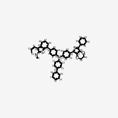 C=Nc1sc2c(-c3ccc(N(c4ccc(-c5ccccc5)cc4)c4ccc(-c5sc(-c6ccccc6)c6c5OCCO6)cc4)cc3)cccc2c1/C=C\C